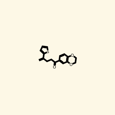 C=C(CCC(=O)c1ccc2c(c1)OCCO2)c1cccs1